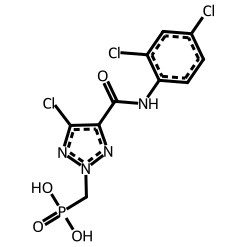 O=C(Nc1ccc(Cl)cc1Cl)c1nn(CP(=O)(O)O)nc1Cl